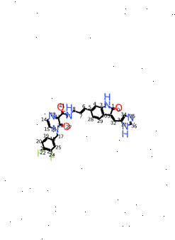 O=C1Nc2cc(/C=C/CNC(=O)c3nccn(Cc4ccc(F)c(F)c4)c3=O)ccc2C1=Cc1cnc[nH]1